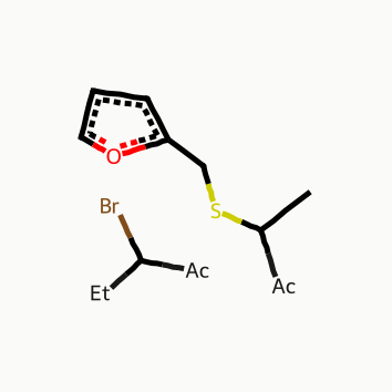 CC(=O)C(C)SCc1ccco1.CCC(Br)C(C)=O